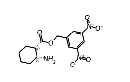 N[C@@H]1CCCC[C@@H]1C(=O)OCc1cc([N+](=O)[O-])cc([N+](=O)[O-])c1